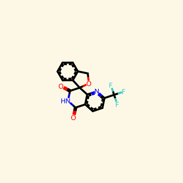 O=C1NC(=O)C2(OCc3ccccc32)c2nc(C(F)(F)F)ccc21